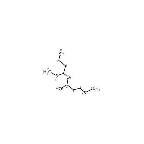 CSCCC(O)OC(CCS)SC